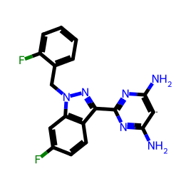 Nc1[c]c(N)nc(-c2nn(Cc3ccccc3F)c3cc(F)ccc23)n1